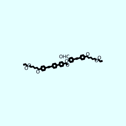 C=CC(=O)OCCCCC(=O)c1ccc(C#Cc2ccc(-c3ccc(C(=O)Oc4ccc(C#Cc5ccc(C(=O)CCCCOC(=O)C=C)cc5)cc4C=O)cc3)cc2)cc1